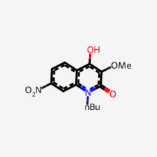 CCCCn1c(=O)c(OC)c(O)c2ccc([N+](=O)[O-])cc21